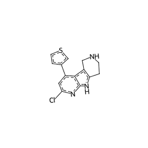 Clc1cc(-c2ccsc2)c2c3c([nH]c2n1)CCNC3